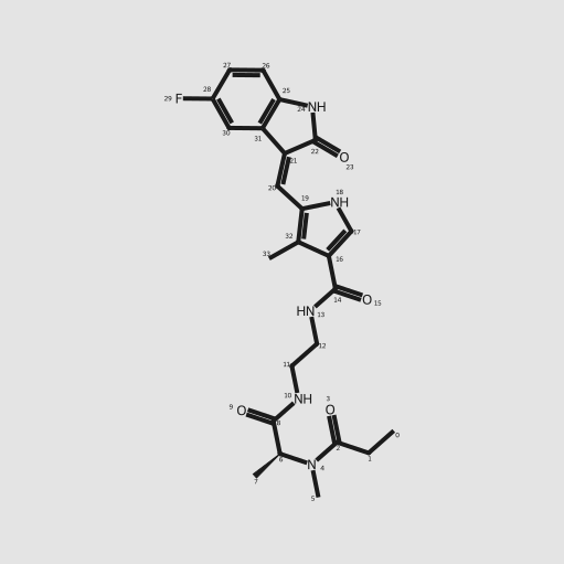 CCC(=O)N(C)[C@@H](C)C(=O)NCCNC(=O)c1c[nH]c(/C=C2\C(=O)Nc3ccc(F)cc32)c1C